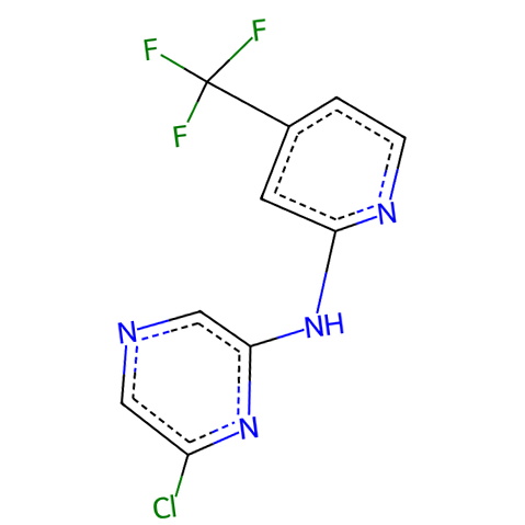 FC(F)(F)c1ccnc(Nc2cncc(Cl)n2)c1